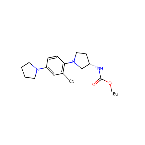 CC(C)(C)OC(=O)N[C@H]1CCN(c2ccc(N3CCCC3)cc2C#N)C1